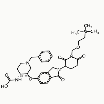 C[Si](C)(C)CCOCN1C(=O)CCC(N2Cc3cc(O[C@@H]4CN(Cc5ccccc5)CC[C@H]4NC(=O)O)ccc3C2=O)C1=O